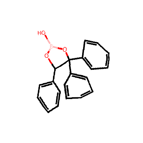 OB1OC(c2ccccc2)C(c2ccccc2)(c2ccccc2)O1